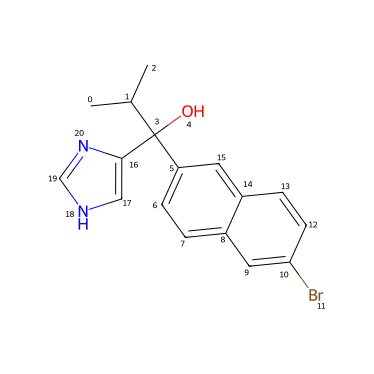 CC(C)C(O)(c1ccc2cc(Br)ccc2c1)c1c[nH]cn1